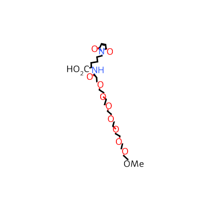 COCCOCCOCCOCCOCCOCCOCCOCCC(=O)NC(CCCCN1C(=O)C=CC1=O)C(=O)O